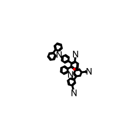 N#Cc1ccc2c(c1)c1c(n2-c2ccccc2-c2cccc(C#N)c2-c2ccc(-n3c4ccccc4c4ccccc43)cc2)C=CC(C#N)C1